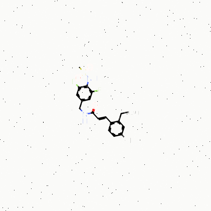 CCC(C)Cc1cc(C(F)(F)F)ccc1/C=C/C(=O)N[C@H](C)c1cc(F)c(NS(C)(=O)=O)c(F)c1